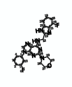 Fc1cccc(-n2cnc3c(NCc4nc5c(F)cccc5[nH]4)nc(N4CCOCC4)nc32)c1